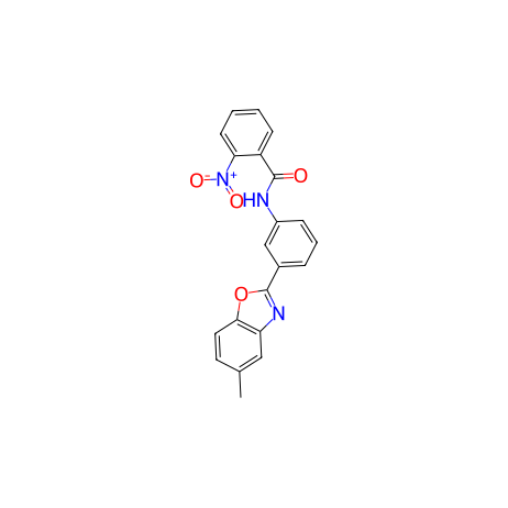 Cc1ccc2oc(-c3cccc(NC(=O)c4ccccc4[N+](=O)[O-])c3)nc2c1